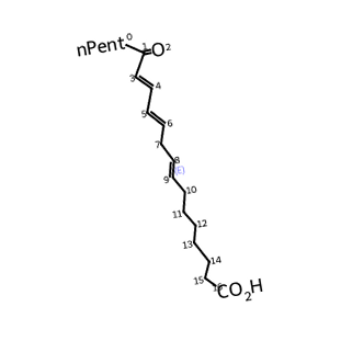 CCCCCC(=O)C=CC=CC/C=C/CCCCCCC(=O)O